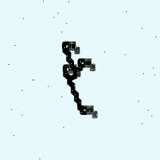 CCCCCCCCC(CC)CC(CC)CCCCCC